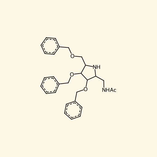 CC(=O)NCC1NC(COCc2ccccc2)C(OCc2ccccc2)C1OCc1ccccc1